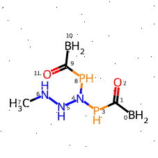 BC(=O)PN(NNC)PC(B)=O